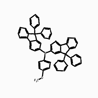 FC(F)(F)Oc1ccc(N(c2ccc3c(c2)C(c2ccccc2)(c2ccccc2)c2ccccc2-3)c2ccc3c(c2)C(c2ccccc2)(c2ccccc2)c2ccccc2-3)cc1